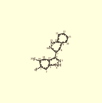 Fc1cc2[nH]nc(-c3cc4ccccc4nn3)c2cc1F